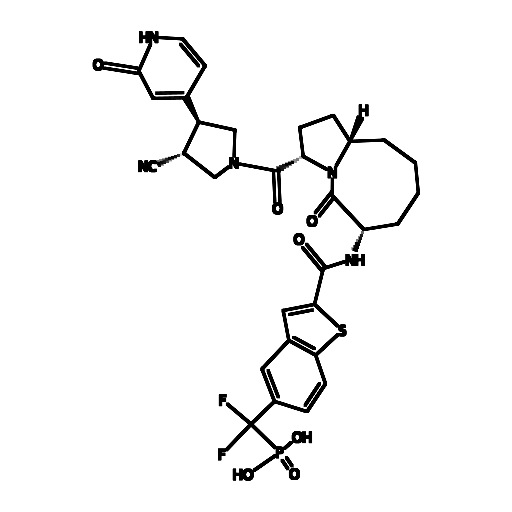 N#C[C@H]1CN(C(=O)[C@@H]2CC[C@@H]3CCCC[C@H](NC(=O)c4cc5cc(C(F)(F)P(=O)(O)O)ccc5s4)C(=O)N32)C[C@@H]1c1cc[nH]c(=O)c1